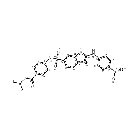 CC(C)OC(=O)c1ccc(NS(=O)(=O)c2ccc3[nH]c(Nc4ccc([N+](=O)[O-])cc4)nc3c2)cc1